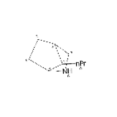 CCCC1C2CCC1NC2